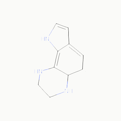 C1=c2cc[nH]c2=C2NCCNC2C1